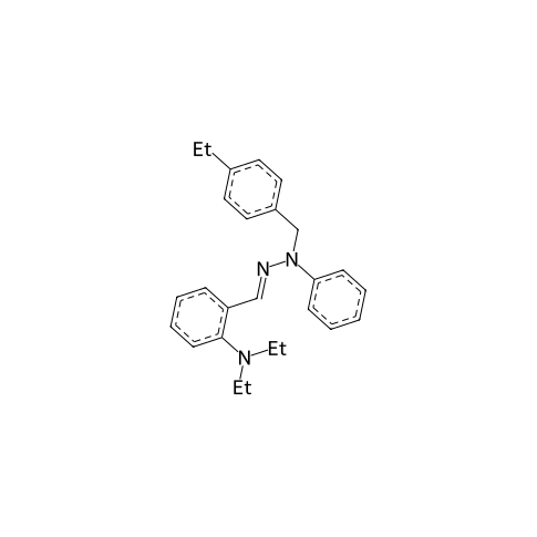 CCc1ccc(CN(N=Cc2ccccc2N(CC)CC)c2ccccc2)cc1